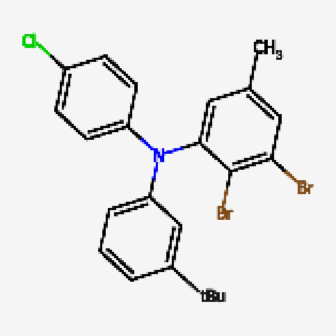 Cc1cc(Br)c(Br)c(N(c2ccc(Cl)cc2)c2cccc(C(C)(C)C)c2)c1